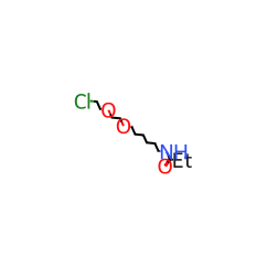 CCC(=O)NCCCCCCOCCOCCCl